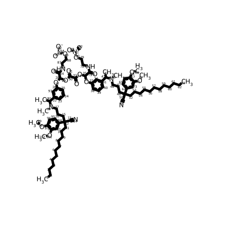 CCCCCCCCCCCCC(C#N)(CCCN(C)C(C)c1cccc(OC(OC(=O)C(=O)OC(Oc2cccc(C(C)N(C)CCCC(C#N)(CCCCCCCCCCCC)c3ccc(OC)c(OC)c3)c2)C(=O)NCCO[N+](=O)[O-])C(=O)NCCO[N+](=O)[O-])c1)c1ccc(OC)c(OC)c1